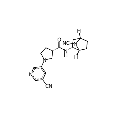 N#Cc1cncc(N2CC[C@H](C(=O)N[C@@H]3C[C@@H]4CC[C@H]3N4C#N)C2)c1